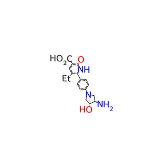 CCc1cc(C(=O)O)c(=O)[nH]c1-c1ccc(N2C[C@@H](N)[C@H](O)C2)cc1